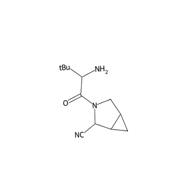 CC(C)(C)C(N)C(=O)N1CC2CC2C1C#N